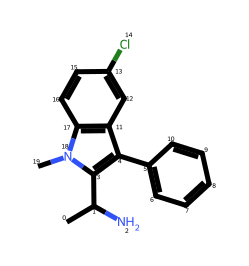 CC(N)c1c(-c2ccccc2)c2cc(Cl)ccc2n1C